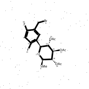 CS[C@H]1O[C@@H](c2cc(CBr)c(F)cc2F)[C@H](OC(C)=O)[C@@H](OC(C)=O)[C@@H]1OC(C)=O